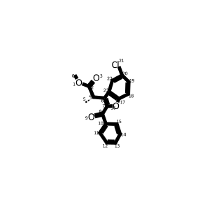 COC(=O)[C@@H](C)c1c(C(=O)c2ccccc2)oc2ccc(Cl)cc12